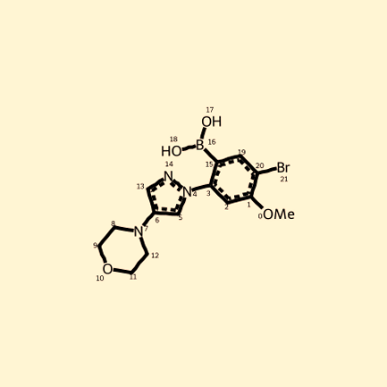 COc1cc(-n2cc(N3CCOCC3)cn2)c(B(O)O)cc1Br